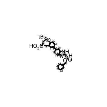 CC(C)(C)C1CN(C(=O)O)Cc2cc(-c3cnc4nc(NC(=O)OCc5ccccc5)[nH]c4c3)ccc2O1